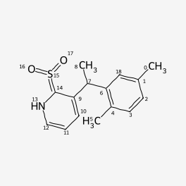 Cc1ccc(C)c(C(C)c2ccc[nH]c2=S(=O)=O)c1